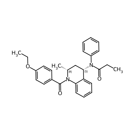 CCOc1ccc(C(=O)N2c3ccccc3[C@@H](N(C(=O)CC)c3ccccc3)C[C@H]2C)cc1